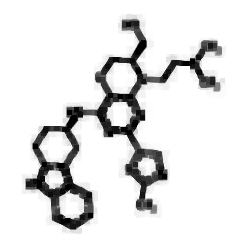 Cc1ncc(-c2nc(N[C@@H]3CCc4[nH]c5ccccc5c4C3)c3c(n2)N(CCN(C)C)[C@H](CO)CO3)s1